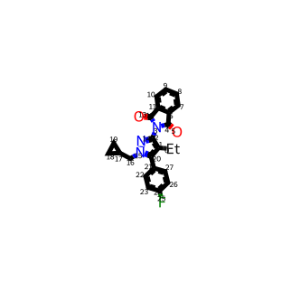 CCc1c(N2C(=O)c3ccccc3C2=O)nn(CC2CC2)c1-c1ccc(F)cc1